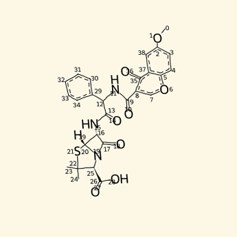 COc1ccc2occ(C(=O)NC(C(=O)N[C@@H]3C(=O)N4[C@@H]3SC(C)(C)[C@@H]4C(=O)O)c3ccccc3)c(=O)c2c1